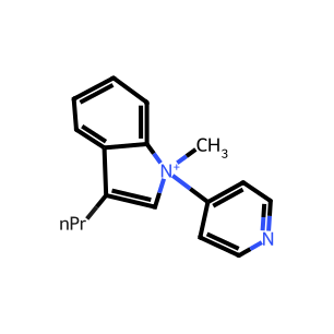 [CH2]CCC1=C[N+](C)(c2ccncc2)c2ccccc21